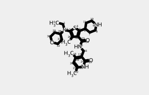 CCN(c1sc(C2CCNCC2)c(C(=O)NCc2c(C)cc(C)[nH]c2=O)c1C)C1CCOCC1